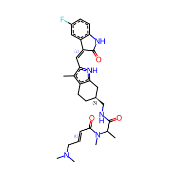 Cc1c(/C=C2\C(=O)Nc3ccc(F)cc32)[nH]c2c1CC[C@H](CNC(=O)C(C)N(C)C(=O)/C=C/CN(C)C)C2